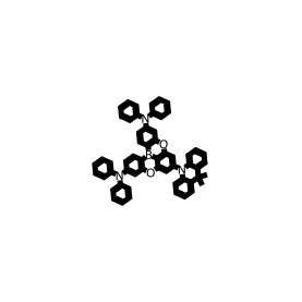 CC1(C)c2ccccc2N(c2cc3c4c(c2)Oc2cc(N(c5ccccc5)c5ccccc5)ccc2B4c2ccc(N(c4ccccc4)c4ccccc4)cc2O3)c2ccccc21